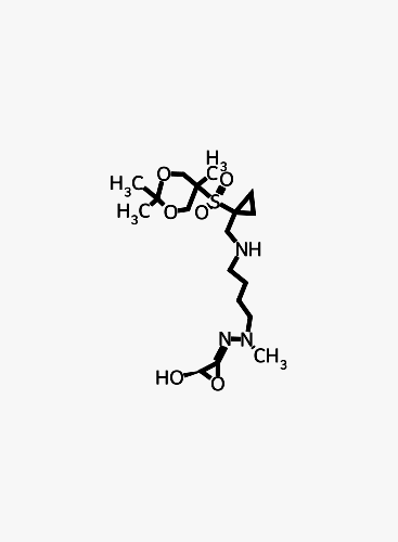 CN(CCCCNCC1(S(=O)(=O)C2(C)COC(C)(C)OC2)CC1)/N=C1\O[C@H]1O